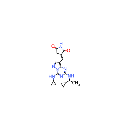 C[C@H](Nc1nc(NC2CC2)n2ncc(/C=C3\CC(=O)NC3=O)c2n1)C1CC1